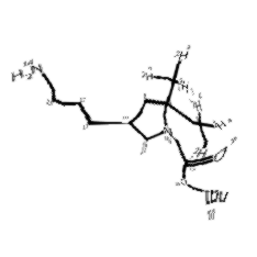 [2H]C([2H])([2H])C1(C([2H])([2H])[2H])C[C@H](CCCN)CN1C(=O)OC(C)(C)C